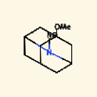 COC12CC3CC(C1)N(N=O)C(C3)C2